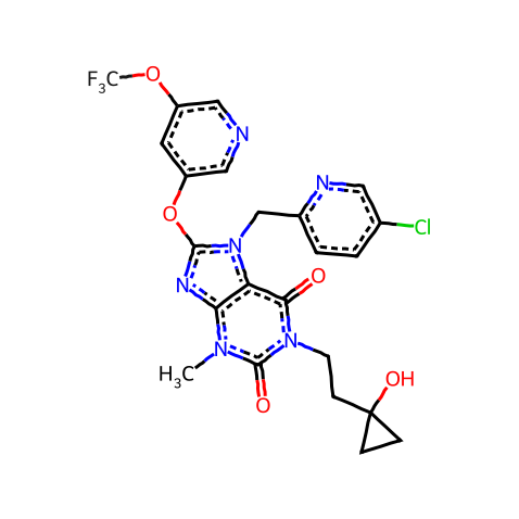 Cn1c(=O)n(CCC2(O)CC2)c(=O)c2c1nc(Oc1cncc(OC(F)(F)F)c1)n2Cc1ccc(Cl)cn1